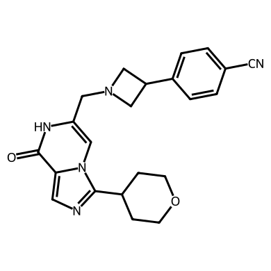 N#Cc1ccc(C2CN(Cc3cn4c(C5CCOCC5)ncc4c(=O)[nH]3)C2)cc1